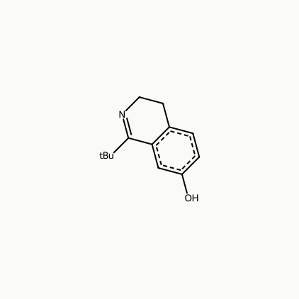 CC(C)(C)C1=NCCc2ccc(O)cc21